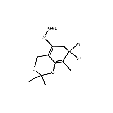 CC[N+]1(CC)CC(NSC)=C2COC(C)(C)OC2=C1C